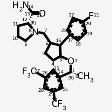 C[C@@H](OC1CCC(CN2CCC[C@@H]2C(N)=O)C1c1ccc(F)cc1)c1cc(C(F)(F)F)cc(C(F)(F)F)c1